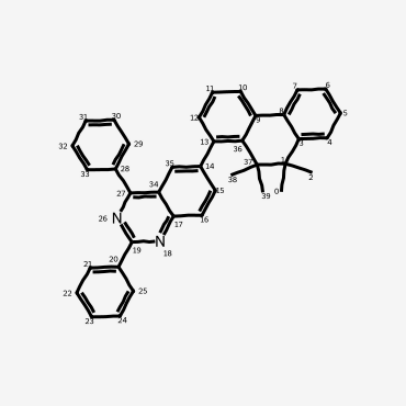 CC1(C)c2ccccc2-c2cccc(-c3ccc4nc(-c5ccccc5)nc(-c5ccccc5)c4c3)c2C1(C)C